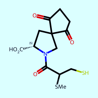 CSC(CS)C(=O)N1CC2(C[C@H]1C(=O)O)C(=O)CCC2=O